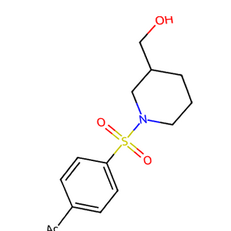 CC(=O)c1ccc(S(=O)(=O)N2CCCC(CO)C2)cc1